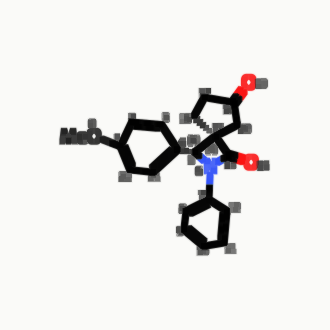 COc1ccc([C@H]2N(c3ccccc3)C(=O)[C@@]23CCC(=O)C3)cc1